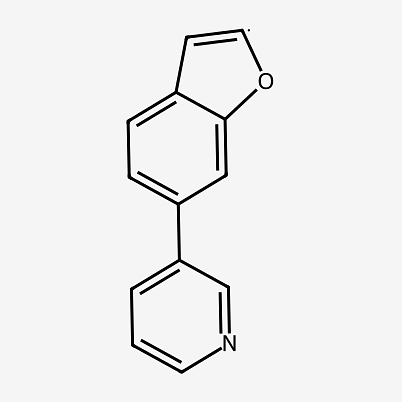 [c]1cc2ccc(-c3cccnc3)cc2o1